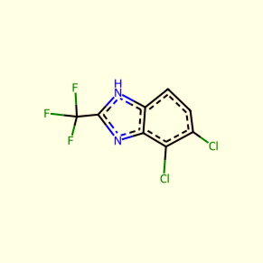 FC(F)(F)c1nc2c(Cl)c(Cl)ccc2[nH]1